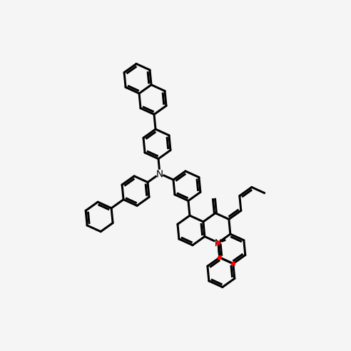 C=C(C1=C(N(C)c2ccccc2)C=CCC1c1cccc(N(c2ccc(C3=CC=CCC3)cc2)c2ccc(-c3ccc4ccccc4c3)cc2)c1)/C(=C\C=C/C)c1ccccc1